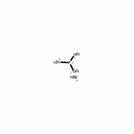 Br.CCCP(CCC)CCC